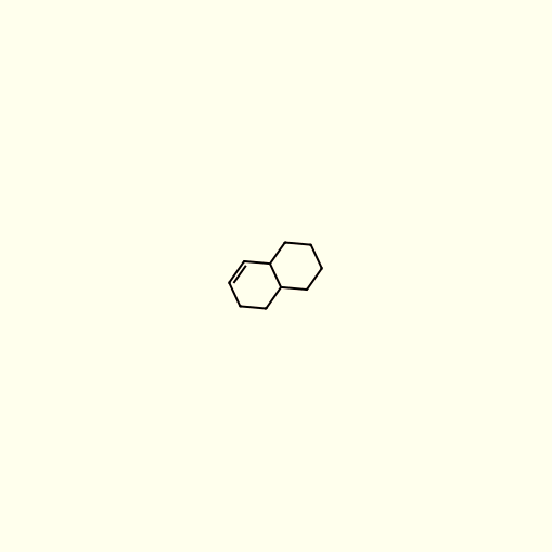 C1=CC2CCCCC2CC1